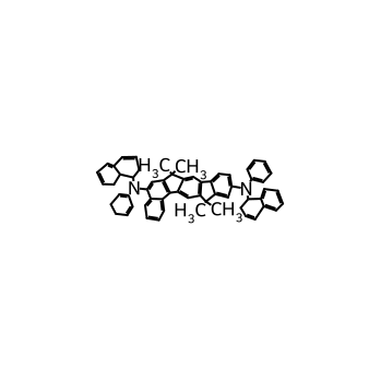 CC1(C)c2cc(N(c3ccccc3)C3CC=Cc4ccccc43)ccc2-c2cc3c(cc21)-c1c(cc(N(C2=CCCC=C2)C2CC=CC4=CC=CCC42)c2ccccc12)C3(C)C